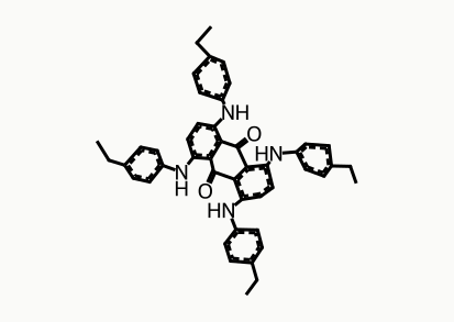 CCc1ccc(Nc2ccc(Nc3ccc(CC)cc3)c3c2C(=O)c2c(Nc4ccc(CC)cc4)ccc(Nc4ccc(CC)cc4)c2C3=O)cc1